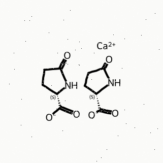 O=C1CC[C@@H](C(=O)[O-])N1.O=C1CC[C@@H](C(=O)[O-])N1.[Ca+2]